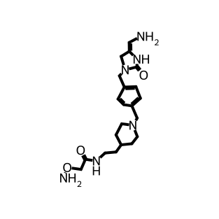 N/C=C1/CN(Cc2ccc(CN3CCC(CCNC(=O)CON)CC3)cc2)C(=O)N1